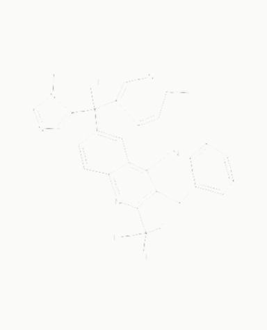 Cn1cncc1C(O)(c1ccc(C(F)(F)F)nc1)c1ccc2nc(C(C)(F)F)c(Cc3ccccc3)c(C#N)c2c1